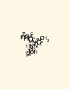 Cc1ccc2nc(NC(=O)CC3(O)CCC3)n(-c3ccc(OC(F)(F)F)c(F)c3)c2c1